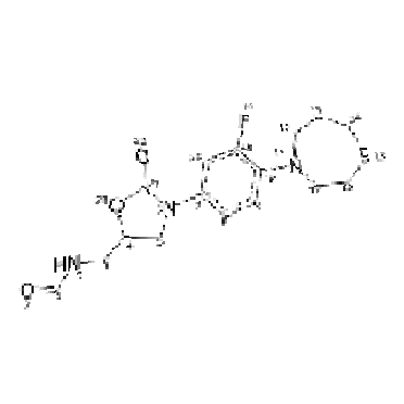 O=CNCC1CN(c2ccc(N3CCCSCC3)c(F)c2)C(=O)O1